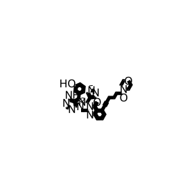 Cn1cc(Cn2c(Cn3nc(-c4cccc(O)c4)c4c(N)ncnc43)nc3cccc(C#CCCCC(=O)N4CCOCC4)c3c2=O)cn1